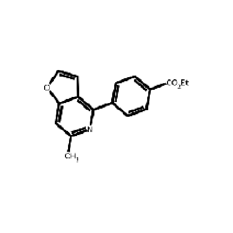 CCOC(=O)c1ccc(-c2nc(C)cc3occc23)cc1